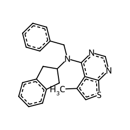 Cc1csc2ncnc(N(Cc3ccccc3)C3Cc4ccccc4C3)c12